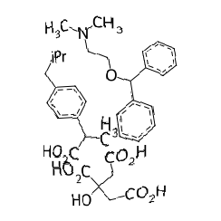 CC(C)Cc1ccc(C(C)C(=O)O)cc1.CN(C)CCOC(c1ccccc1)c1ccccc1.O=C(O)CC(O)(CC(=O)O)C(=O)O